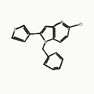 Clc1ccc2c(cc(-c3ccsc3)n2Cc2ccccc2)n1